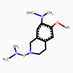 CCCOc1cc2c(cc1N(C)C=O)CN(SN(C)C)CC2